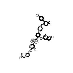 CC1(C)CCC(CN2CCN(c3ccc(C(=O)NS(=O)(=O)c4cnc(OC[C@@H]5CCN(CC(F)F)C5)c(Cl)c4)c(Oc4cnc5[nH]ccc5c4)c3)CC2)=C(c2ccc(Cl)cc2)C1